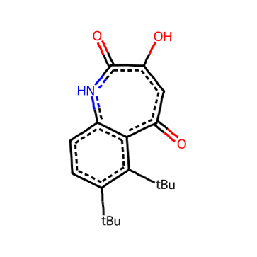 CC(C)(C)c1ccc2[nH]c(=O)c(O)cc(=O)c2c1C(C)(C)C